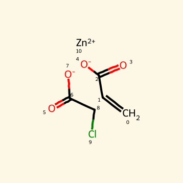 C=CC(=O)[O-].O=C([O-])CCl.[Zn+2]